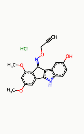 C#CCON=C1c2c(OC)cc(OC)cc2-c2[nH]c3ccc(O)cc3c21.Cl